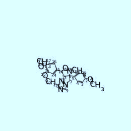 COc1ccc(C2(Cn3cncn3)CC(c3ccc(OC)c(OC)c3)ON2C)cc1